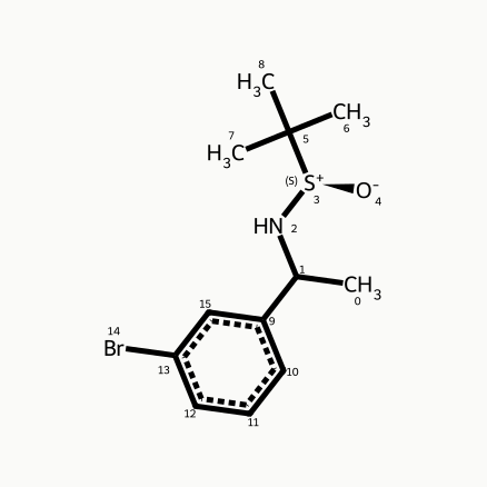 CC(N[S@+]([O-])C(C)(C)C)c1cccc(Br)c1